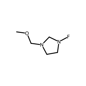 COCN1CCN(F)C1